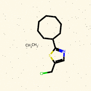 ClCc1cnc([C]2CCCCCCC2)s1.[CH2].[CH2]